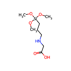 CO[Si](CCCNCC(=O)O)(OC)OC